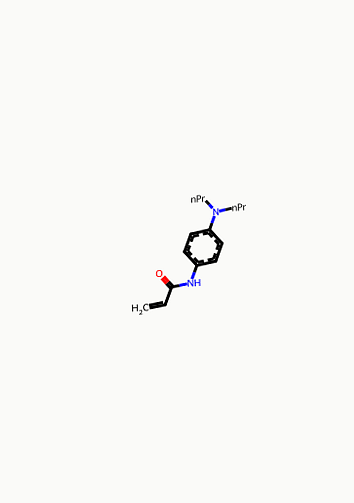 C=CC(=O)Nc1ccc(N(CCC)CCC)cc1